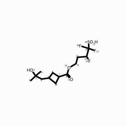 CC(C)(O)CC1CC(C(=O)OCCC(F)C(F)(F)S(=O)(=O)O)C1